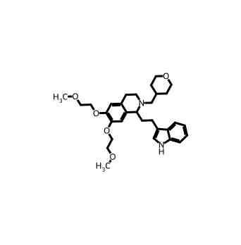 COCCOc1cc2c(cc1OCCOC)C(CCc1c[nH]c3ccccc13)N(CC1CCOCC1)CC2